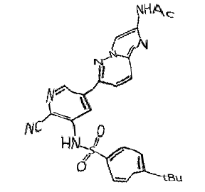 CC(=O)Nc1cn2nc(-c3cnc(C#N)c(NS(=O)(=O)c4ccc(C(C)(C)C)cc4)c3)ccc2n1